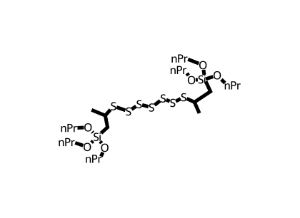 CCCO[Si](CC(C)SSSSSSSC(C)C[Si](OCCC)(OCCC)OCCC)(OCCC)OCCC